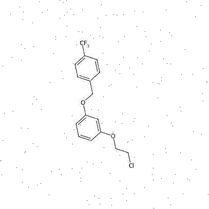 FC(F)(F)c1ccc(COc2cccc(OCCCl)c2)cc1